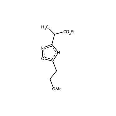 CCOC(=O)C(C)c1noc(CCOC)n1